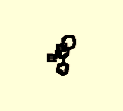 CCN(CC)C(=CC1=NCCCCC1)c1ccccc1